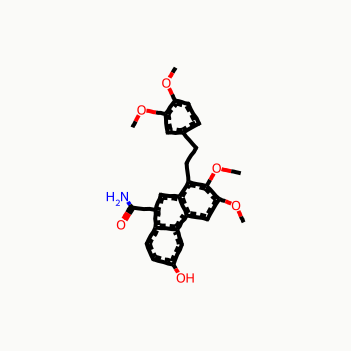 COc1ccc(CCc2c(OC)c(OC)cc3c2cc(C(N)=O)c2ccc(O)cc23)cc1OC